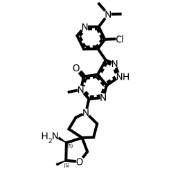 C[C@@H]1OCC2(CCN(c3nc4[nH]nc(-c5ccnc(N(C)C)c5Cl)c4c(=O)n3C)CC2)[C@@H]1N